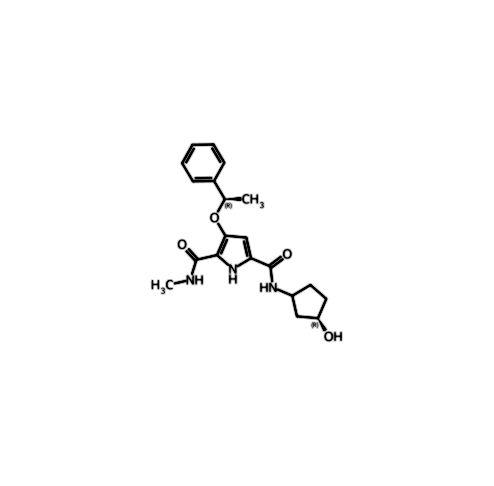 CNC(=O)c1[nH]c(C(=O)NC2CC[C@@H](O)C2)cc1O[C@H](C)c1ccccc1